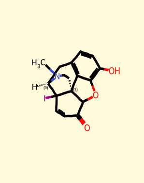 CN1CC[C@]23c4c5ccc(O)c4OC2C(=O)C=CC3(I)[C@H]1C5